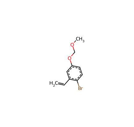 C=Cc1cc(OCOC)ccc1Br